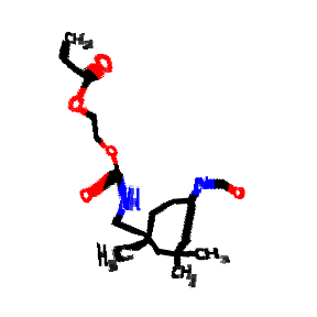 C=CC(=O)OCCOC(=O)NCC1(C)CC(N=C=O)CC(C)(C)C1